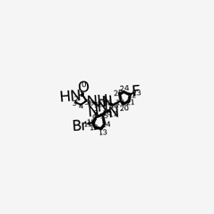 O=C1NCC[C@H]1Nc1nc2c(Br)cccc2c2nc(-c3ccc(F)cc3)nn12